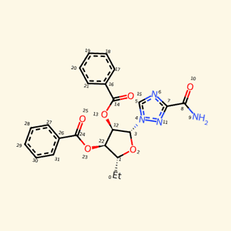 CC[C@H]1O[C@@H](n2cnc(C(N)=O)n2)[C@H](OC(=O)c2ccccc2)[C@@H]1OC(=O)c1ccccc1